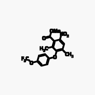 COC(=O)c1c([N+](=O)[O-])cc(C)c(Oc2ccc(OC(F)(F)F)cc2)c1C